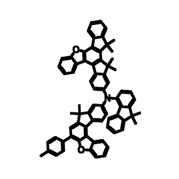 Cc1ccc(-c2cc3c(c4c2oc2ccccc24)-c2ccc(N(c4ccc5c(c4)C(C)(C)c4c6c(c7oc8ccccc8c7c4-5)-c4ccccc4C6(C)C)c4cccc5c4-c4ccccc4C5(C)C)cc2C3(C)C)cc1